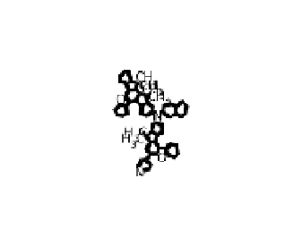 CC1(C)c2cc(N(c3ccc4c(c3)C(C)(C)c3c5c(c6oc7ccccc7c6c3-4)-c3ccccc3C5(C)C)c3ccc4ccccc4c3)ccc2-c2c1cc(-c1ccncc1)c1oc3ccccc3c21